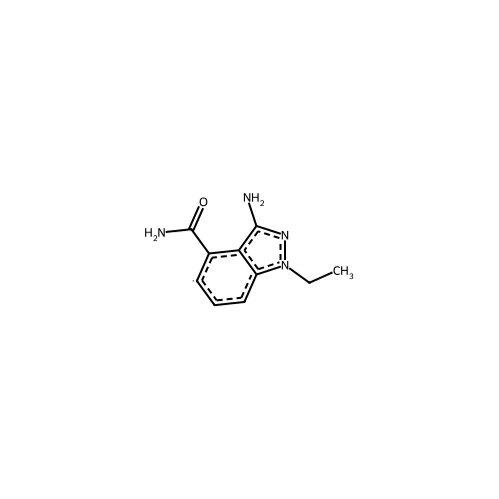 CCn1nc(N)c2c(C(N)=O)[c]ccc21